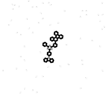 c1ccc(-c2nc(-c3ccc(-n4c5ccccc5c5ccccc54)cc3)nc(-c3cccc(-c4cc5c6ccccc6c6ccccc6c5c5ccccc45)c3)n2)cc1